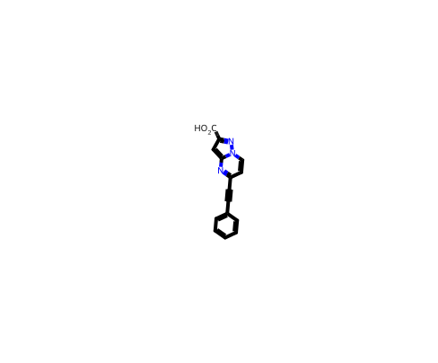 O=C(O)c1cc2nc(C#Cc3ccccc3)ccn2n1